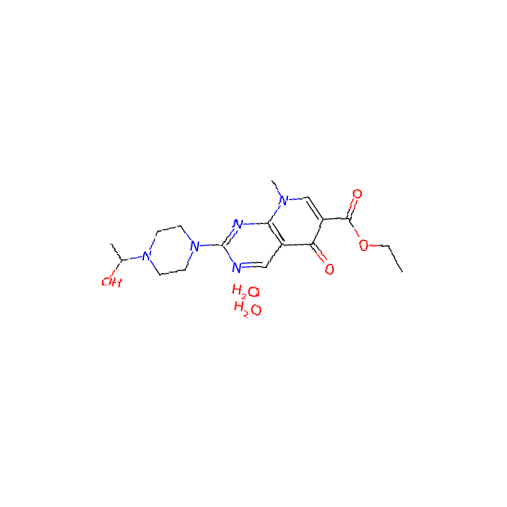 CCOC(=O)c1cn(C)c2nc(N3CCN(C(C)O)CC3)ncc2c1=O.O.O